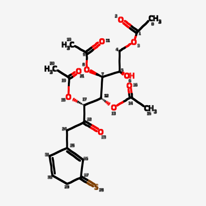 CC(=O)OC[C@@H](O)[C@H](OC(C)=O)[C@H](OC(C)=O)[C@@H](OC(C)=O)C(=O)CC1=CC(=S)CC=C1